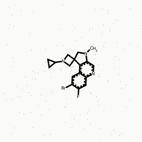 CN1CC2(CN(C3CC3)C2)c2c1cnc1cc(F)c(Br)cc21